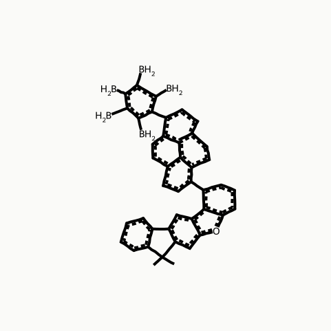 Bc1c(B)c(B)c(-c2ccc3ccc4c(-c5cccc6oc7cc8c(cc7c56)-c5ccccc5C8(C)C)ccc5ccc2c3c54)c(B)c1B